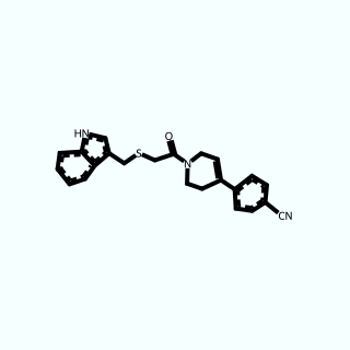 N#Cc1ccc(C2=CCN(C(=O)CSCc3c[nH]c4ccccc34)CC2)cc1